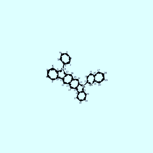 c1ccc(-n2c3ccccc3c3cc4cc5c6ccccc6n(-c6ccc7ccccc7n6)c5cc4cc32)cc1